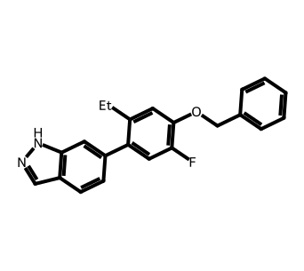 CCc1cc(OCc2ccccc2)c(F)cc1-c1ccc2cn[nH]c2c1